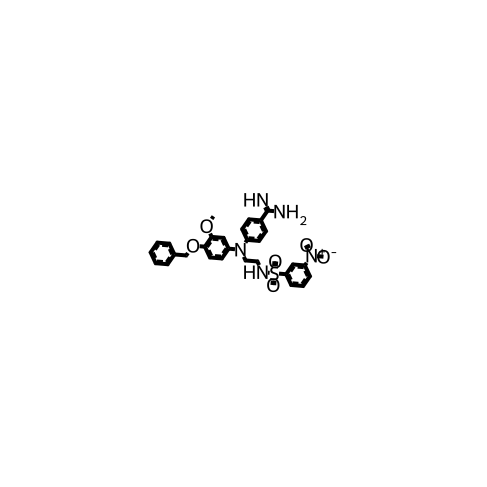 COc1cc(N(CCNS(=O)(=O)c2cccc([N+](=O)[O-])c2)c2ccc(C(=N)N)cc2)ccc1OCc1ccccc1